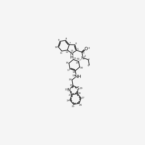 CCN(C(=O)C1=CC2=CC=CCC2N1)[C@H]1CCC=C(NCc2nc3ccccc3s2)C1